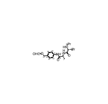 CC(C)N[C@H](C(=O)N[C@@H](C)C(=O)Nc1ccc(COC=O)cc1)C(C)C